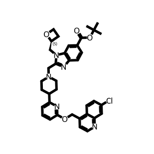 CC(C)(C)OC(=O)c1ccc2nc(CN3CCC(c4cccc(OCc5ccnc6cc(Cl)ccc56)n4)CC3)n(C[C@@H]3CCO3)c2c1